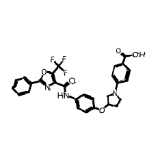 O=C(O)c1ccc(N2CCC(Oc3ccc(NC(=O)c4nc(-c5ccccc5)oc4C(F)(F)F)cc3)C2)cc1